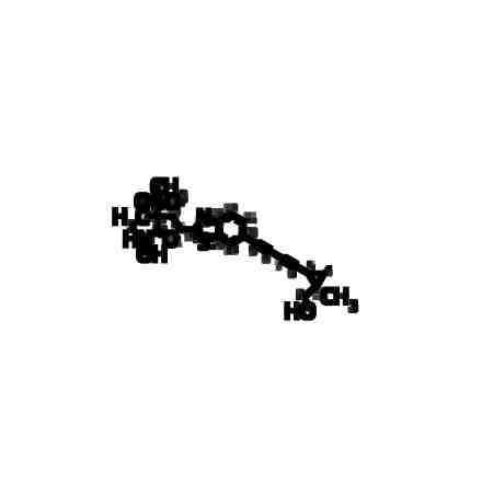 C[C@@]1(CO)CC1C#CC#Cc1ccc2nc(CC[C@](C)(C(=O)NO)S(C)(=O)=O)sc2c1